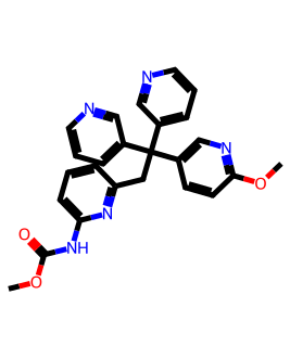 COC(=O)Nc1cccc(CC(c2cccnc2)(c2cccnc2)c2ccc(OC)nc2)n1